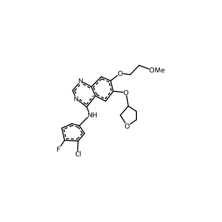 COCCOc1cc2ncnc(Nc3ccc(F)c(Cl)c3)c2cc1OC1CCOC1